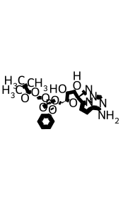 CC(C)(C)C(=O)OCOP(=O)(OC[C@H]1O[C@@](C#N)(c2ccc3c(N)ncnn23)[C@H](O)[C@@H]1O)Oc1ccccc1